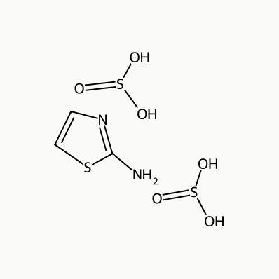 Nc1nccs1.O=S(O)O.O=S(O)O